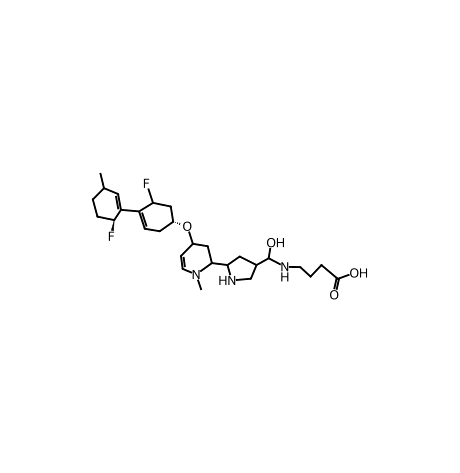 CC1C=C(C2=CC[C@@H](OC3C=CN(C)C(C4CC(C(O)NCCCC(=O)O)CN4)C3)CC2F)[C@@H](F)CC1